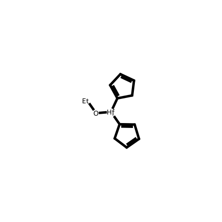 CC[O][Hf]([C]1=CC=CC1)[C]1=CC=CC1